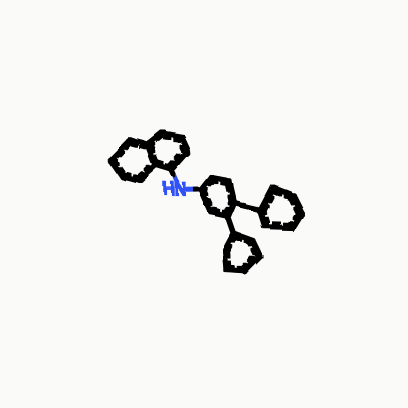 c1ccc(-c2ccc(Nc3cccc4ccccc34)cc2-c2ccccc2)cc1